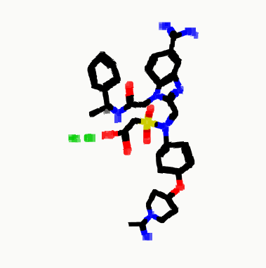 CC(=N)N1CCC(Oc2ccc(N(Cc3nc4cc(C(=N)N)ccc4n3CC(=O)N[C@@H](C)c3ccccc3)S(=O)(=O)CC(=O)O)cc2)CC1.Cl.Cl